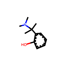 CN(C)C(C)(C)c1ccccc1O